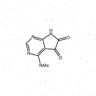 CNc1ncnc2c1C(=O)C(=O)N2